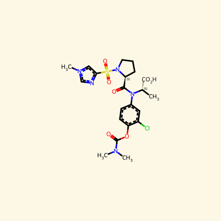 C[C@@H](C(=O)O)N(C(=O)[C@@H]1CCCN1S(=O)(=O)c1cn(C)cn1)c1ccc(OC(=O)N(C)C)c(Cl)c1